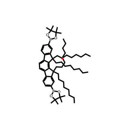 CCCCCCCCC1(CCCCCCCC)c2cc(B3OC(C)(C)C(C)(C)O3)ccc2-c2ccc3c(c21)C(CCCCCCCC)(CCCCCCCC)c1cc(B2OC(C)(C)C(C)(C)O2)ccc1-3